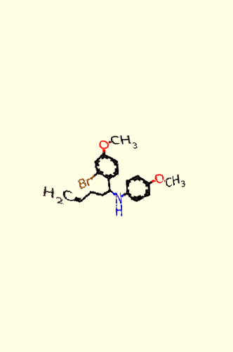 C=CCCC(Nc1ccc(OC)cc1)c1ccc(OC)cc1Br